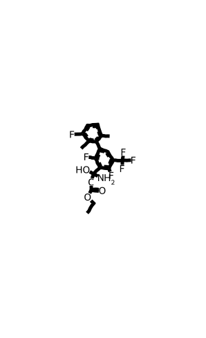 CCOC(=O)CC(N)(O)c1c(F)c(-c2c(C)ccc(F)c2C)cc(C(F)(F)F)c1F